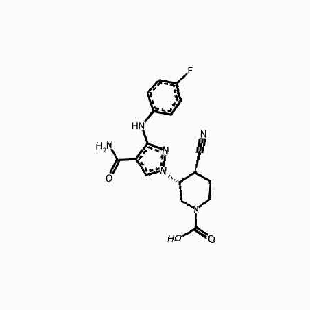 N#C[C@H]1CCN(C(=O)O)C[C@@H]1n1cc(C(N)=O)c(Nc2ccc(F)cc2)n1